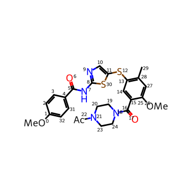 COc1ccc(C(=O)Nc2ncc(Sc3cc(C(=O)N4CCN(C(C)=O)CC4)c(OC)cc3C)s2)cc1